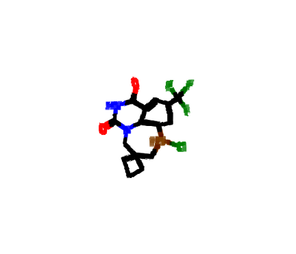 O=c1[nH]c(=O)n2c3c(cc(C(F)(F)F)cc13)[SH](Cl)CC1(CCC1)C2